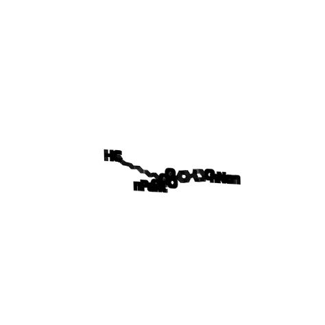 C#CCCCCCCCCC(=O)OC(CCCCC)OC(=O)c1ccc(-c2ccc(OCCCCCCCCC)cc2)cc1